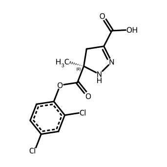 C[C@]1(C(=O)Oc2ccc(Cl)cc2Cl)CC(C(=O)O)=NN1